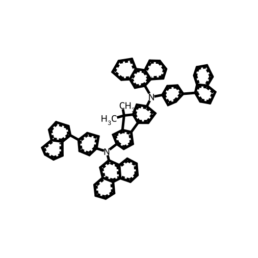 CC1(C)c2cc(N(c3ccc(-c4cccc5ccccc45)cc3)c3cc4ccccc4c4ccccc34)ccc2-c2ccc(N(c3ccc(-c4cccc5ccccc45)cc3)c3cc4ccccc4c4ccccc34)cc21